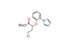 COC(=O)C(CCCl)Oc1ccccc1-n1cccc1